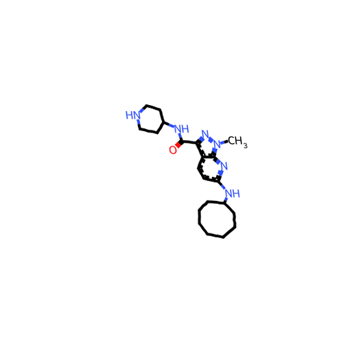 Cn1nc(C(=O)NC2CCNCC2)c2ccc(NC3CCCCCCC3)nc21